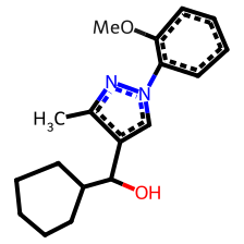 COc1ccccc1-n1cc(C(O)C2CCCCC2)c(C)n1